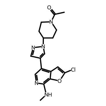 CNc1ncc(-c2cnn(C3CCN(C(C)=O)CC3)c2)c2cc(Cl)oc12